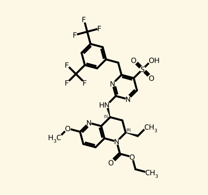 CCOC(=O)N1c2ccc(OC)nc2[C@@H](Nc2ncc(S(=O)(=O)O)c(Cc3cc(C(F)(F)F)cc(C(F)(F)F)c3)n2)C[C@H]1CC